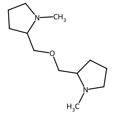 CN1CCCC1COCC1CCCN1C